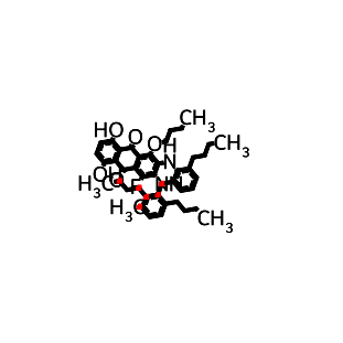 CCCCOc1c(Nc2c(CCCC)cccc2CCCC)c(Nc2c(CCCC)cccc2CCCC)c(F)c2c1C(=O)c1c(O)ccc(O)c1C2=O